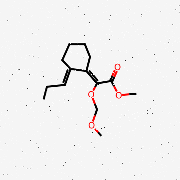 CCC=C1CCCCC1=C(OCOC)C(=O)OC